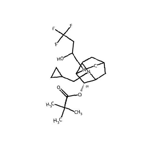 CC(C)(C)C(=O)O[C@H]1C2CC3CC(C1N(C(O)CC(F)(F)F)C3)N2CC1CC1